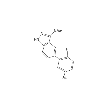 CNc1n[nH]c2ccc(-c3cc(C(C)=O)ccc3F)cc12